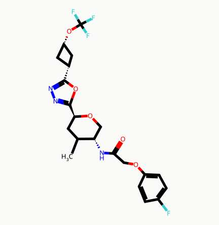 CC1C[C@@H](c2nnc([C@H]3C[C@@H](OC(F)(F)F)C3)o2)OC[C@@H]1NC(=O)COc1ccc(F)cc1